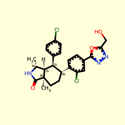 C[C@H]1NC(=O)[C@]2(C)CC[C@@H](c3ccc(-c4nnc(CO)o4)cc3Cl)[C@H](c3ccc(Cl)cc3)[C@H]12